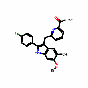 CCOc1cc2[nH]c(-c3ccc(F)cc3)c(Cc3cccc(C(=O)OC)n3)c2cc1C